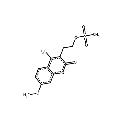 COc1ccc2c(C)c(CCOS(C)(=O)=O)c(=O)oc2c1